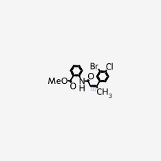 COC(=O)c1ccccc1NC(=O)/C=C(/C)c1ccc(Cl)c(Br)c1